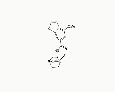 COc1nc(C(=O)N[C@H]2CN3CCC2CC3)cc2occc12